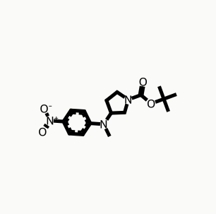 CN(c1ccc([N+](=O)[O-])cc1)C1CCN(C(=O)OC(C)(C)C)C1